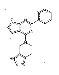 c1ccc(-c2nc(N3CCc4nc[nH]c4C3)c3cc[nH]c3n2)cc1